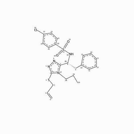 C=CCSc1nnc([C@@H](Cc2ccccc2)NS(=O)(=O)c2ccc(Cl)cc2)n1CCC